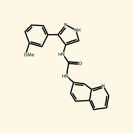 COc1cccc(-c2n[nH]cc2NC(=O)Nc2ccc3cccnc3c2)c1